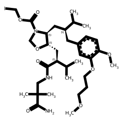 COCCCOc1cc(C[C@@H](C[C@H]2[C@H](C[C@H](C(=O)NCC(C)(C)C(N)=O)C(C)C)OCN2C(=O)OCI)C(C)C)ccc1OC